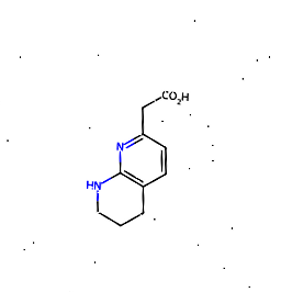 O=C(O)Cc1ccc2c(n1)NCCC2